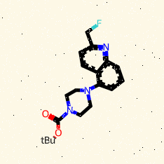 CC(C)(C)OC(=O)N1CCN(c2cccc3nc(CF)ccc23)CC1